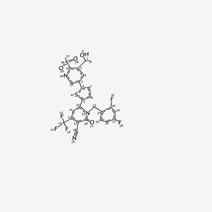 CC(O)c1cc(-c2ccc(-c3cc(C(F)(F)F)c(C#N)c(=O)n3Cc3ccc(F)cc3F)s2)cnc1S(C)(=O)=O